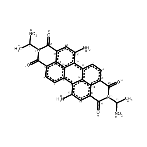 CC(N1C(=O)c2ccc3c4c(N)cc5c6c(ccc(c7c(N)cc(c2c37)C1=O)c64)C(=O)N(C(C)[N+](=O)[O-])C5=O)[N+](=O)[O-]